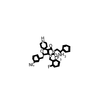 N#Cc1cccc(C[C@H]2OC3(CCNCC3)c3c2n(Cc2c(F)cccc2C(F)(F)F)c(=O)n(CC(N)c2ccccc2)c3=O)c1